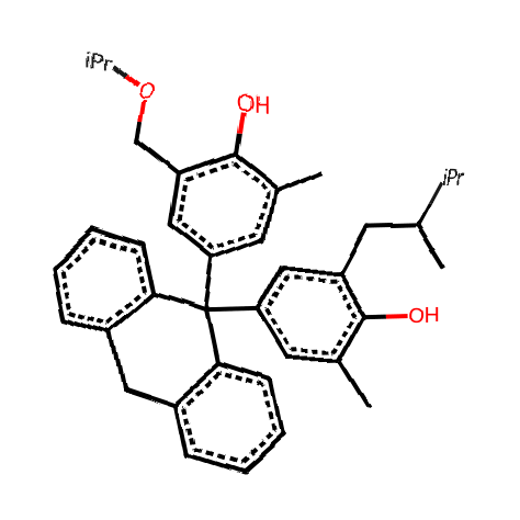 Cc1cc(C2(c3cc(C)c(O)c(CC(C)C(C)C)c3)c3ccccc3Cc3ccccc32)cc(COC(C)C)c1O